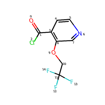 O=C(Cl)c1ccncc1OCC(F)(F)F